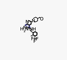 Cc1c(CN/C(N)=c2\cc(N3CCC(C=O)CC3)cn\c2=C\N)cccc1C(F)(F)F